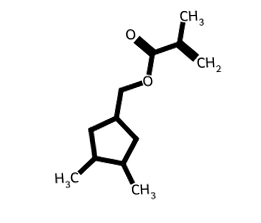 C=C(C)C(=O)OCC1CC(C)C(C)C1